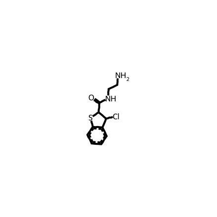 NCCNC(=O)C1Sc2ccccc2C1Cl